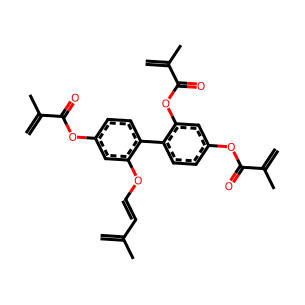 C=C(C)/C=C/Oc1cc(OC(=O)C(=C)C)ccc1-c1ccc(OC(=O)C(=C)C)cc1OC(=O)C(=C)C